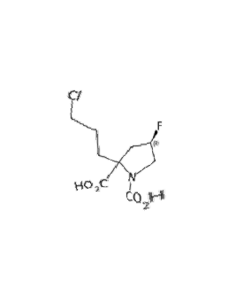 O=C(O)N1C[C@H](F)CC1(CCCCl)C(=O)O